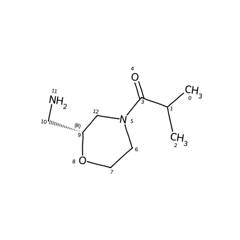 CC(C)C(=O)N1CCO[C@H](CN)C1